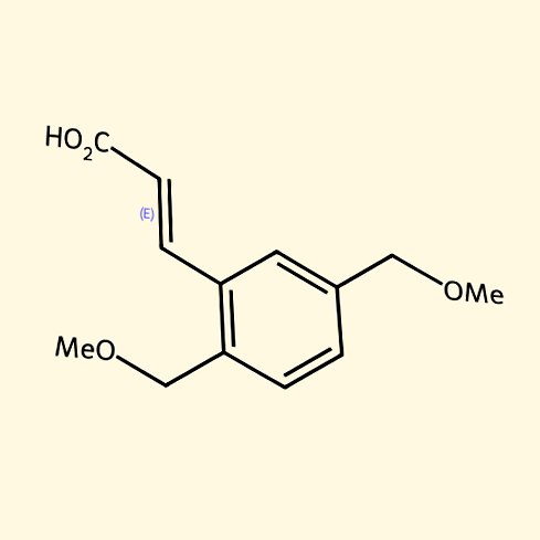 COCc1ccc(COC)c(/C=C/C(=O)O)c1